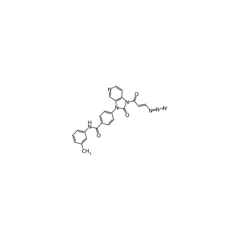 Cc1cccc(NC(=O)c2ccc(-n3c(=O)n(C(=O)C=CN=[N+]=[N-])c4ccncc43)cc2)c1